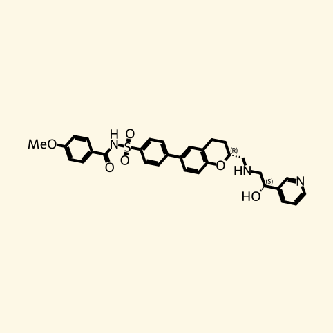 COc1ccc(C(=O)NS(=O)(=O)c2ccc(-c3ccc4c(c3)CC[C@H](CNC[C@@H](O)c3cccnc3)O4)cc2)cc1